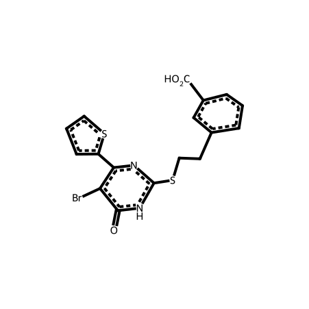 O=C(O)c1cccc(CCSc2nc(-c3cccs3)c(Br)c(=O)[nH]2)c1